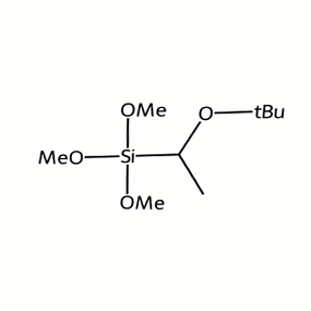 CO[Si](OC)(OC)C(C)OC(C)(C)C